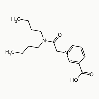 CCCCN(CCCC)C(=O)C[n+]1cccc(C(=O)O)c1